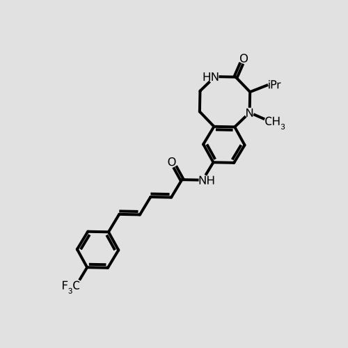 CC(C)C1C(=O)NCCc2cc(NC(=O)/C=C/C=C/c3ccc(C(F)(F)F)cc3)ccc2N1C